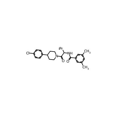 Cc1cc(C)cc(C(=O)NC(C(=O)N2CCC(c3ccc(Cl)cc3)CC2)C(C)C)c1